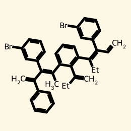 C=C/C(=C(\CC)c1cccc(/C(C)=C(/C(=C)c2ccccc2)c2cccc(Br)c2)c1C(=C)CC)c1cccc(Br)c1